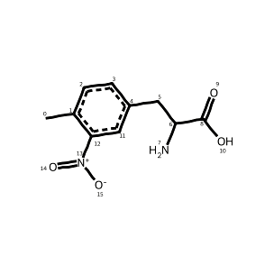 Cc1ccc(CC(N)C(=O)O)cc1[N+](=O)[O-]